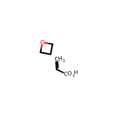 C1COC1.C=CC(=O)O